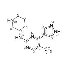 FC(F)(F)c1cnc(N[C@H]2CCCNC2)nc1-c1cn[nH]c1